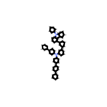 C1=CC(c2ccc(N(c3ccc(-c4ccc(-c5ccccc5)cc4)cc3)c3cccc(-c4cccc(-c5cccc6c5c5ccccc5n6-c5ccccc5)c4)c3)cc2)=CCC1